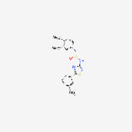 COc1ccc(C[S+]([O-])Nc2nsc(-c3cccc([N+](=O)[O-])c3)n2)cc1OC